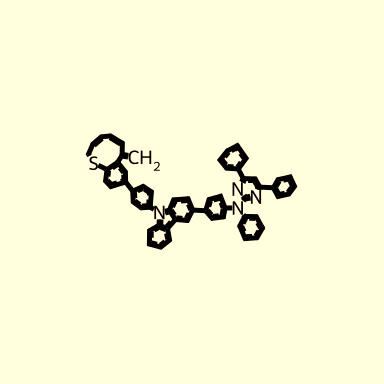 C=C1/C=C\C=C/CSc2ccc(-c3ccc(-n4c5ccccc5c5cc(-c6ccc(N(c7ccccc7)c7nc(-c8ccccc8)cc(-c8ccccc8)n7)cc6)ccc54)cc3)cc21